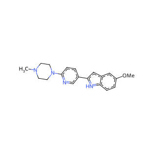 COc1ccc2[nH]c(-c3ccc(N4CCN(C)CC4)nc3)cc2c1